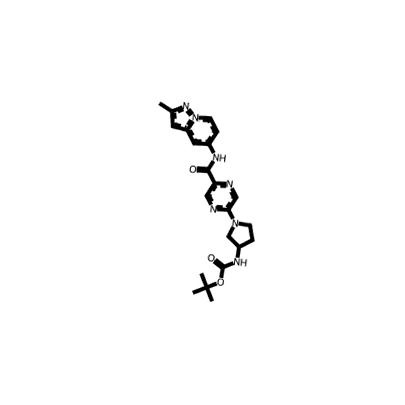 Cc1cc2cc(NC(=O)c3cnc(N4CCC(NC(=O)OC(C)(C)C)C4)cn3)ccn2n1